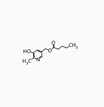 CCCCC(=O)OCc1cnc(C)c(O)c1